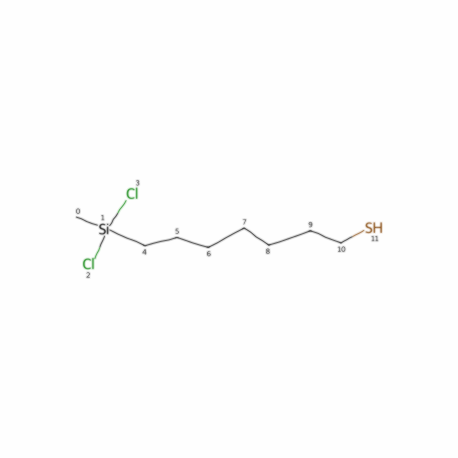 C[Si](Cl)(Cl)CCCCCCCS